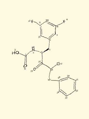 O=C(O)N[C@@H](Cc1cc(F)cc(F)c1)C(=O)C(Cl)Cc1ccccc1